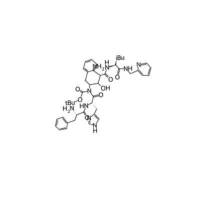 CC[C@H](C)[C@H](NC(=O)C(CN)C(O)C(Cc1ccccc1)N(C(=O)OC(C)(C)C)C(=O)[C@H](Cc1c[nH]cn1)NC(=O)[C@@H](N)Cc1ccccc1)C(=O)NCc1ccccn1